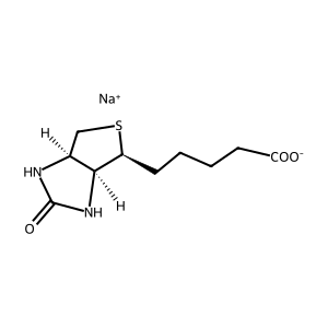 O=C([O-])CCCC[C@@H]1SC[C@@H]2NC(=O)N[C@@H]21.[Na+]